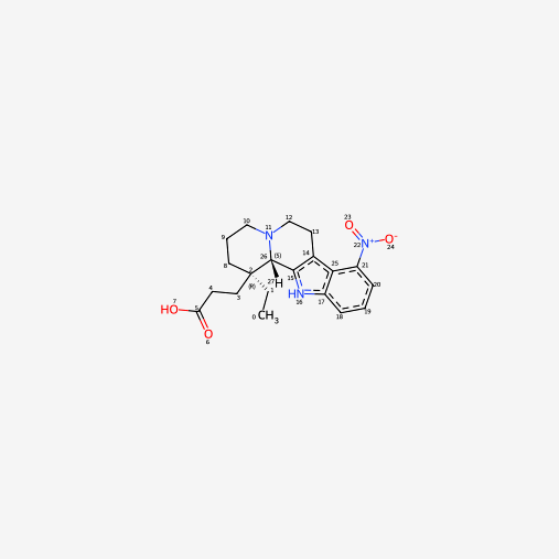 CC[C@]1(CCC(=O)O)CCCN2CCc3c([nH]c4cccc([N+](=O)[O-])c34)[C@@H]21